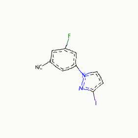 N#Cc1cc(F)cc(-n2ccc(I)n2)c1